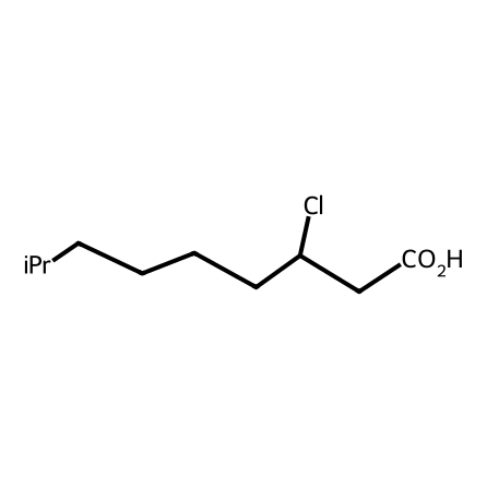 CC(C)CCCCC(Cl)CC(=O)O